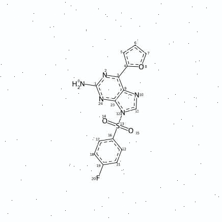 Nc1nc(-c2ccco2)c2ncn(S(=O)(=O)c3ccc(F)cc3)c2n1